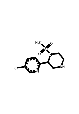 CS(=O)(=O)N1CCNCC1c1ccc(Cl)cn1